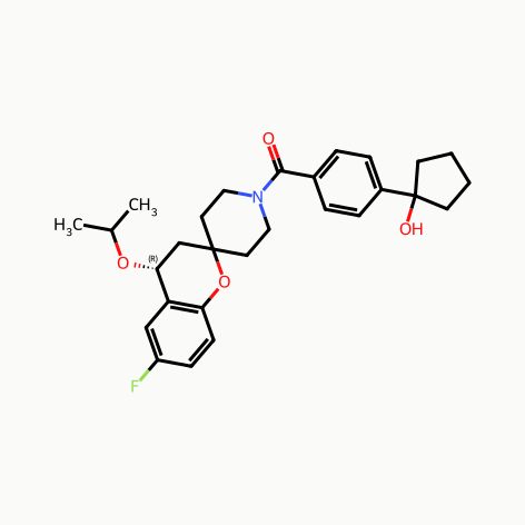 CC(C)O[C@@H]1CC2(CCN(C(=O)c3ccc(C4(O)CCCC4)cc3)CC2)Oc2ccc(F)cc21